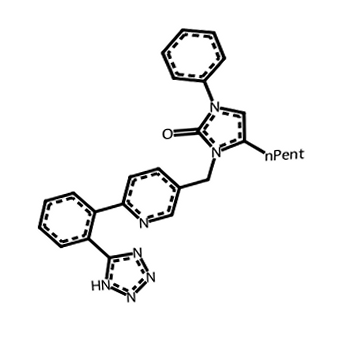 CCCCCc1cn(-c2ccccc2)c(=O)n1Cc1ccc(-c2ccccc2-c2nnn[nH]2)nc1